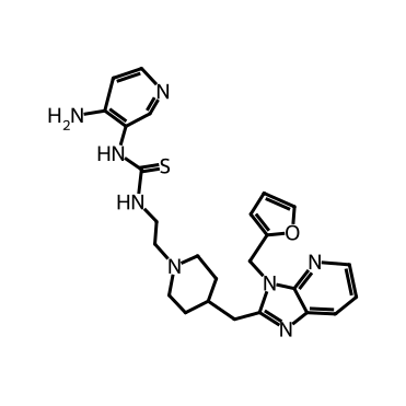 Nc1ccncc1NC(=S)NCCN1CCC(Cc2nc3cccnc3n2Cc2ccco2)CC1